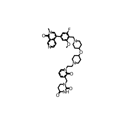 COc1cc(-c2cn(C)c(=O)c3cnccc23)cc(F)c1CN1CCC(OC2CCN(CCn3cccc(CN4CCC(=O)NC4=O)c3=O)CC2)CC1